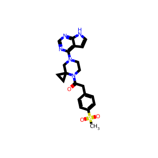 CS(=O)(=O)c1ccc(CC(=O)N2CCN(c3ncnc4[nH]ccc34)CC23CC3)cc1